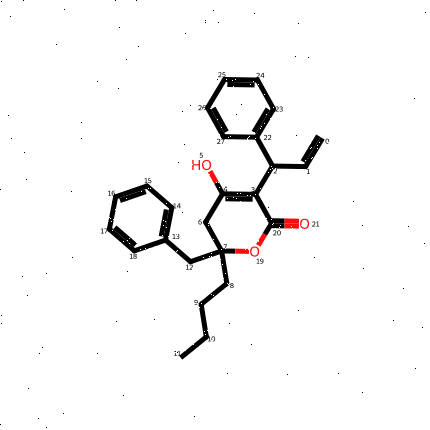 C=CC(C1=C(O)CC(CCCC)(Cc2ccccc2)OC1=O)c1ccccc1